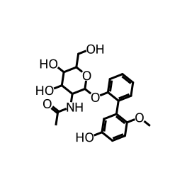 COc1ccc(O)cc1-c1ccccc1OC1OC(CO)C(O)C(O)C1NC(C)=O